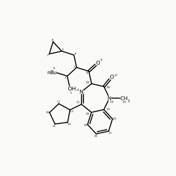 CCCCC(O)C(CC1CC1)C(=O)C1N=C(C2CCCC2)c2ccccc2N(C)C1=O